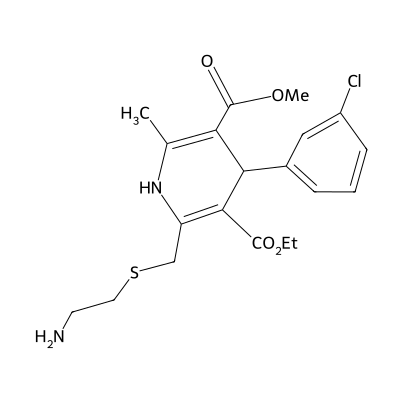 CCOC(=O)C1=C(CSCCN)NC(C)=C(C(=O)OC)C1c1cccc(Cl)c1